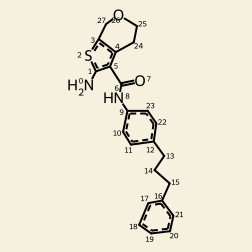 Nc1sc2c(c1C(=O)Nc1ccc(CCCc3ccccc3)cc1)CCOC2